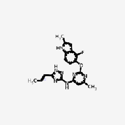 C/C=C/c1nc(Nc2cc(C)nc(Oc3ccc4[nH]c(C)cc4c3F)n2)n[nH]1